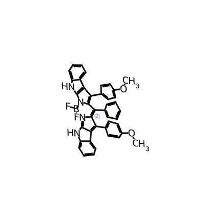 COc1ccc(C2=c3c([nH]c4ccccc34)=N/C2=C(/c2ccccc2)c2c(-c3ccc(OC)cc3)c3c4ccccc4[nH]c3n2B(F)F)cc1